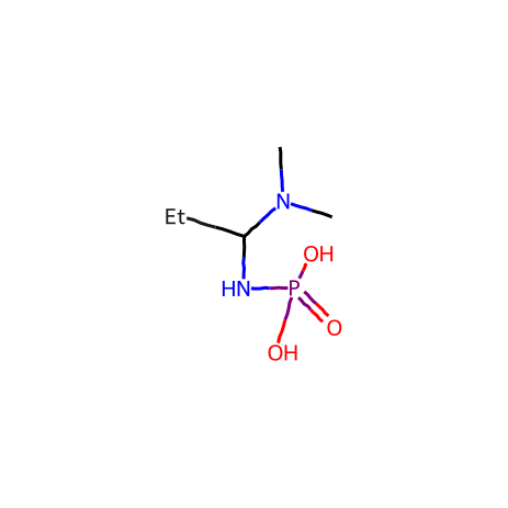 CCC(NP(=O)(O)O)N(C)C